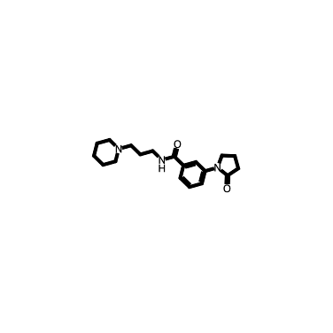 O=C(NCCCN1CCCCC1)c1cccc(N2CCCC2=O)c1